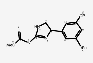 COC(=O)NC1=NC(c2cc(C(C)(C)C)cc(C(C)(C)C)c2)CN1